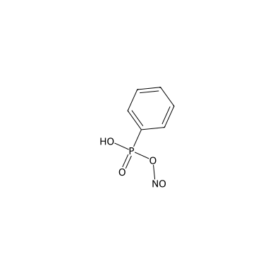 O=NOP(=O)(O)c1ccccc1